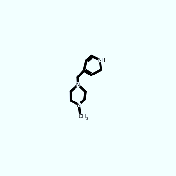 CN1CCN(CC2=CCN[C]=C2)CC1